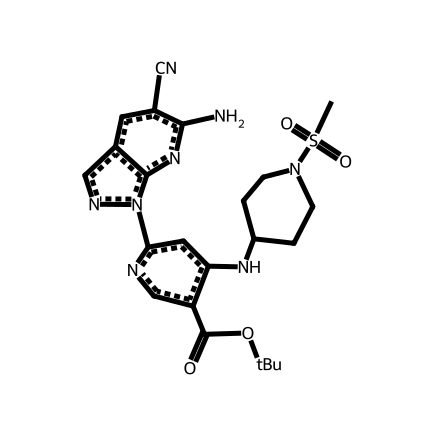 CC(C)(C)OC(=O)c1cnc(-n2ncc3cc(C#N)c(N)nc32)cc1NC1CCN(S(C)(=O)=O)CC1